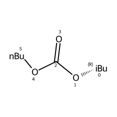 C[CH][C@@H](C)OC(=O)OCCCC